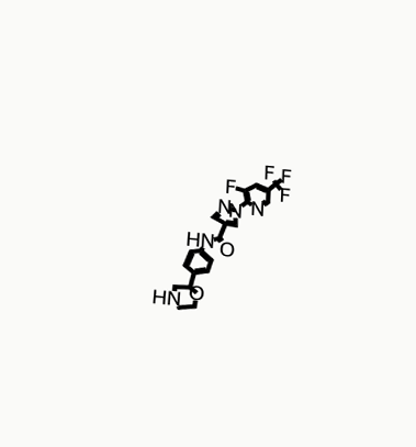 O=C(Nc1ccc(C2CNCCO2)cc1)c1cnn(-c2ncc(C(F)(F)F)cc2F)c1